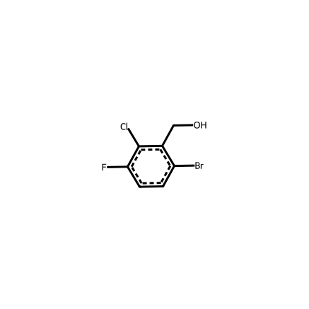 OCc1c(Br)ccc(F)c1Cl